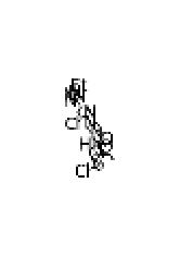 C=CC(c1ccc(Cl)s1)S(=O)(=O)NC(=O)N1CCN(c2ncc(-c3nnn(CC)n3)cc2Cl)CC1